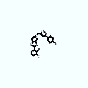 Fc1cc(Br)ccc1-c1cc(Cn2ccc3nc(-c4cccc(Cl)c4F)nc-3c2)on1